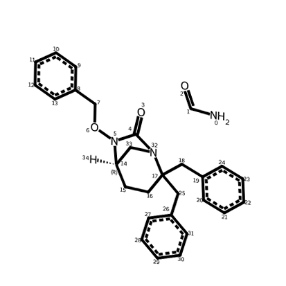 NC=O.O=C1N(OCc2ccccc2)[C@@H]2CCC(Cc3ccccc3)(Cc3ccccc3)N1C2